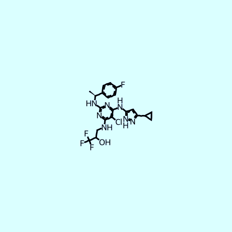 C[C@H](Nc1nc(NCC(O)C(F)(F)F)c(Cl)c(Nc2cc(C3CC3)n[nH]2)n1)c1ccc(F)cc1